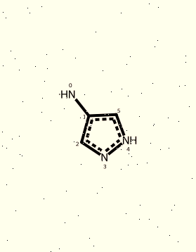 [NH]c1cn[nH]c1